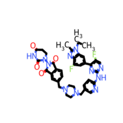 Cc1nc2c(F)cc(-c3nc(Nc4ccc(CN5CCN(Cc6ccc7c(c6)C(=O)N(N6CCC(=O)NC6=O)C7=O)CC5)cn4)ncc3F)cc2n1C(C)C